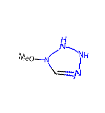 CON1C=NNN1